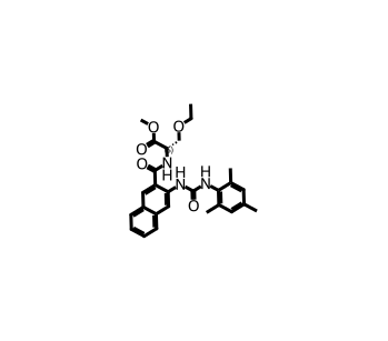 CCOC[C@H](NC(=O)c1cc2ccccc2cc1NC(=O)Nc1c(C)cc(C)cc1C)C(=O)OC